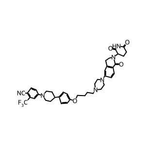 N#Cc1ccc(N2CCC(c3ccc(OCCCCN4CCN(c5ccc6c(c5)CCN(C5CCC(=O)NC5=O)C6=O)CC4)cc3)CC2)cc1C(F)(F)F